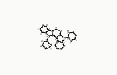 C1=c2c(c3ccccc3n2-c2ncncn2)=C2C(C1)c1ccccc1N2c1ccccn1